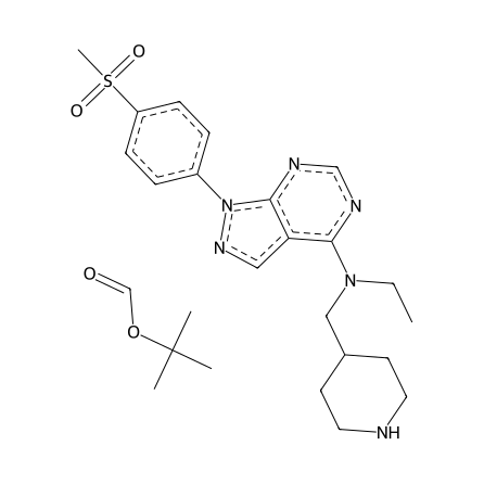 CC(C)(C)OC=O.CCN(CC1CCNCC1)c1ncnc2c1cnn2-c1ccc(S(C)(=O)=O)cc1